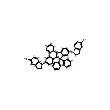 Fc1ccc2c(c1)CCN2c1ccc2c(c1)C(c1ccccc1)(c1ccccc1)c1c-2c2ccccc2c2cc(N3CCc4cc(F)ccc43)ccc12